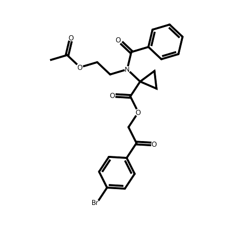 CC(=O)OCCN(C(=O)c1ccccc1)C1(C(=O)OCC(=O)c2ccc(Br)cc2)CC1